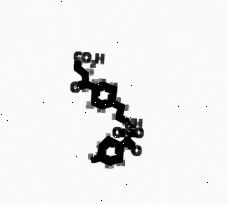 Cc1ccc(C(=O)S(=O)(=O)NCCc2ccc(C(=O)CCC(=O)O)cc2)cc1